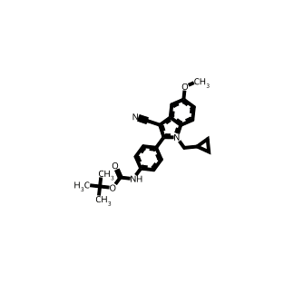 COc1ccc2c(c1)c(C#N)c(-c1ccc(NC(=O)OC(C)(C)C)cc1)n2CC1CC1